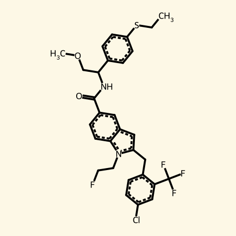 CCSc1ccc(C(COC)NC(=O)c2ccc3c(c2)cc(Cc2ccc(Cl)cc2C(F)(F)F)n3CCF)cc1